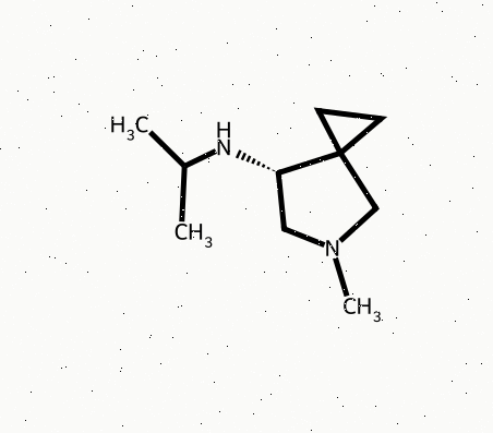 CC(C)N[C@H]1CN(C)CC12CC2